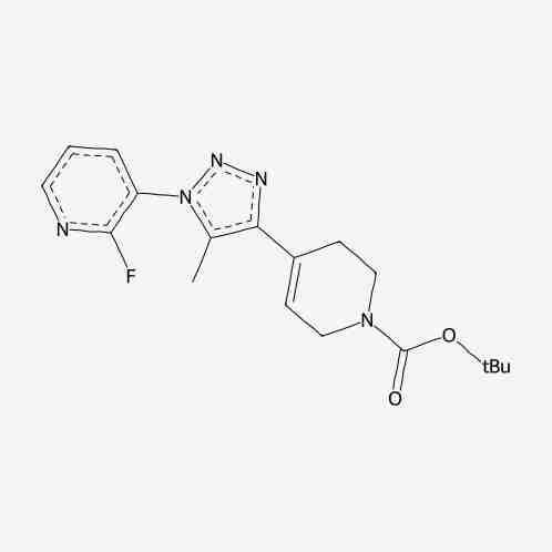 Cc1c(C2=CCN(C(=O)OC(C)(C)C)CC2)nnn1-c1cccnc1F